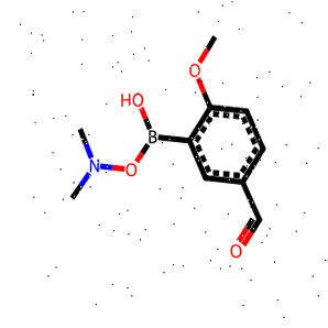 COc1ccc(C=O)cc1B(O)ON(C)C